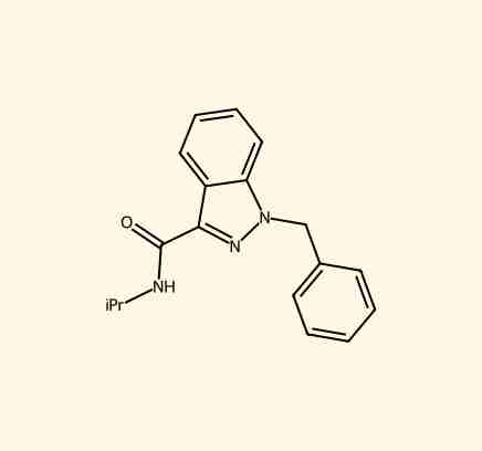 CC(C)NC(=O)c1nn(Cc2ccccc2)c2ccccc12